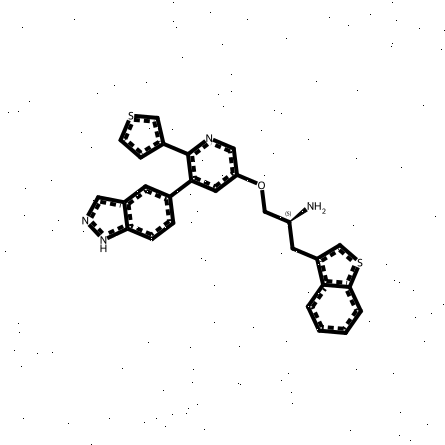 N[C@H](COc1cnc(-c2ccsc2)c(-c2ccc3[nH]ncc3c2)c1)Cc1csc2ccccc12